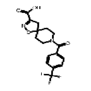 O=C(O)C1=NOC2(CCN(C(=O)c3ccc(C(F)(F)F)cc3)CC2)C1